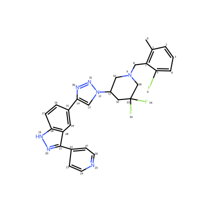 Cc1cccc(F)c1CN1CC(n2cc(-c3ccc4[nH]nc(-c5ccncc5)c4c3)nn2)CC(F)(F)C1